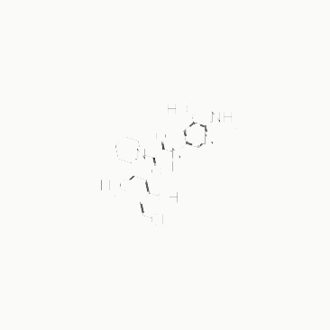 C=C(/C=C(C)\C=C/C)[C@@H]1CCCCN1C(=O)C(=O)Nc1cnc(N)c(C)c1